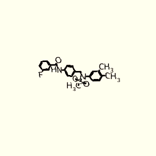 Cc1ccc(N(Cc2ccc(NC(=O)c3cccc(F)c3)cc2)S(C)(=O)=O)cc1C